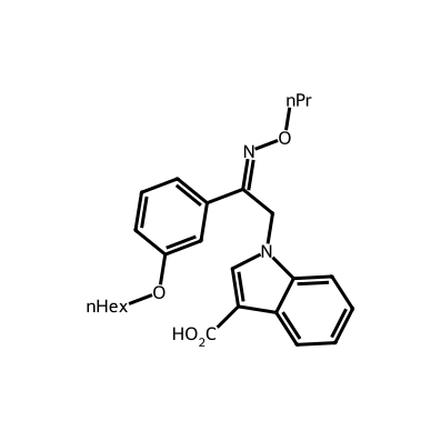 CCCCCCOc1cccc(/C(Cn2cc(C(=O)O)c3ccccc32)=N/OCCC)c1